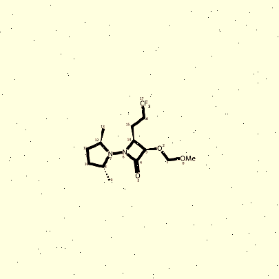 COCO[C@H]1C(=O)N(N2[C@H](C)CC[C@H]2C)[C@H]1CCC(F)(F)F